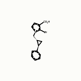 CC(C)c1c(C(=O)O)ccn1C[C@@H]1C[C@H]1c1ccccc1